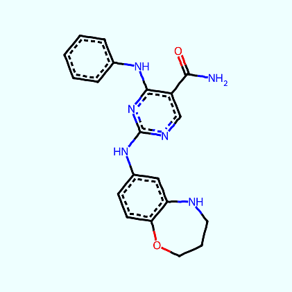 NC(=O)c1cnc(Nc2ccc3c(c2)NCCCO3)nc1Nc1ccccc1